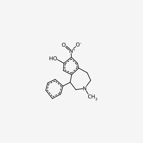 CN1CCc2cc([N+](=O)[O-])c(O)cc2C(c2ccccc2)C1